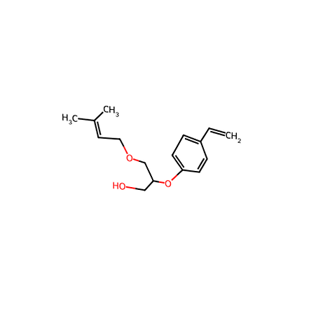 C=Cc1ccc(OC(CO)COCC=C(C)C)cc1